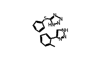 Cc1ccccc1-c1c[nH]nn1.c1ccc(Sc2nnn[nH]2)cc1